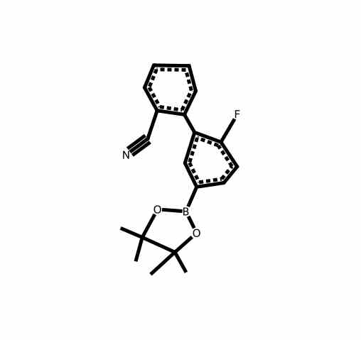 CC1(C)OB(c2ccc(F)c(-c3ccccc3C#N)c2)OC1(C)C